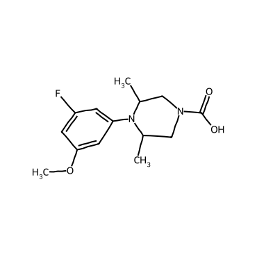 COc1cc(F)cc(N2C(C)CN(C(=O)O)CC2C)c1